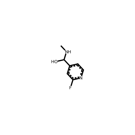 CNC(O)c1ccnc(F)c1